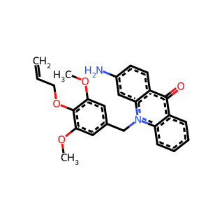 C=CCOc1c(OC)cc(Cn2c3ccccc3c(=O)c3ccc(N)cc32)cc1OC